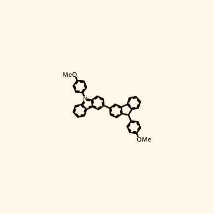 COc1ccc(C2c3ccccc3-c3cc(-c4ccc5c(c4)c4ccccc4n5-c4ccc(OC)cc4)ccc32)cc1